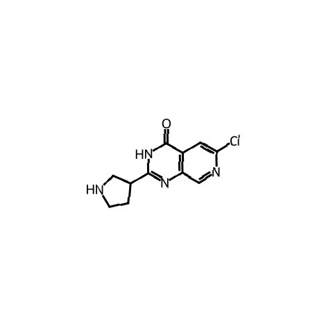 O=c1[nH]c(C2CCNC2)nc2cnc(Cl)cc12